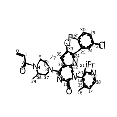 C=CC(=O)N1C[C@H](C)N(c2nc(=O)n(-c3c(C)ccnc3C(C)C)c3nc(-c4cc(Cl)ccc4F)c(Cl)cc23)C[C@H]1C